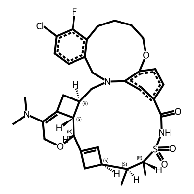 C[C@H]1[C@@H]2C=C(C2)[C@@H]2OCC(N(C)C)=C3C[C@@H](CN4Cc5ccc(Cl)c(F)c5CCCCOc5ccc(cc54)C(=O)NS(=O)(=O)[C@@H]1C)[C@@H]32